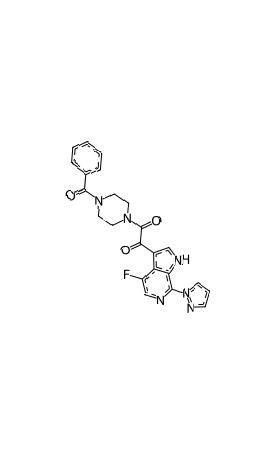 O=C(C(=O)N1CCN(C(=O)c2ccccc2)CC1)c1c[nH]c2c(-n3cccn3)ncc(F)c12